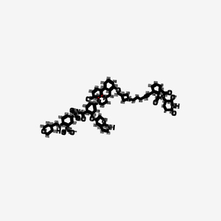 O=C1CCC(N2C(=O)c3cccc(C#CCCCN4CC(COc5cccc(-c6ccc(Cl)cc6)c5CN5CCN(c6ccc(C(=O)NS(=O)(=O)c7ccc(NCC8CCOCC8)c([N+](=O)[O-])c7)c(Oc7cnc8[nH]ccc8c7)c6)CC5)C4)c3C2=O)C(=O)N1